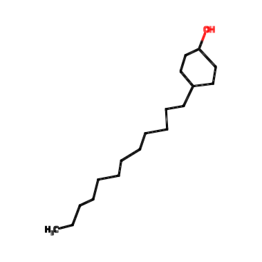 CCCCCCCCCCCCC1CCC(O)CC1